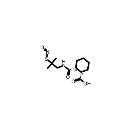 CC(C)(CNC(=O)[C@@H]1CCCC[C@@H]1C(=O)O)SN=O